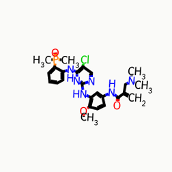 C=C(CN(C)C)C(=O)Nc1ccc(OC)c(Nc2ncc(Cl)c(Nc3ccccc3P(C)(C)=O)n2)c1